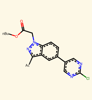 CCCCOC(=O)Cn1nc(C(C)=O)c2cc(-c3cnc(Cl)nc3)ccc21